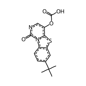 CC(C)(C)c1ccc2c(c1)sc1c(OC(=O)O)cnc(=O)n12